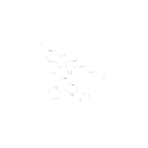 CCCCNC(=O)c1cc2cc(Br)ccc2c(Br)c1NC(=O)c1cc(C(F)(F)F)nn1-c1ncccc1Cl